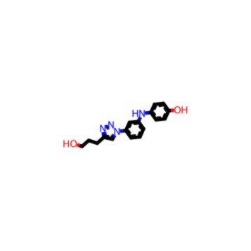 OCCCc1cn(-c2cccc(Nc3ccc(O)cc3)c2)nn1